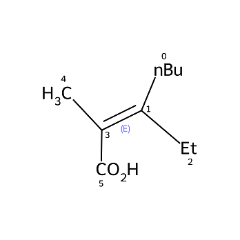 CCCC/C(CC)=C(\C)C(=O)O